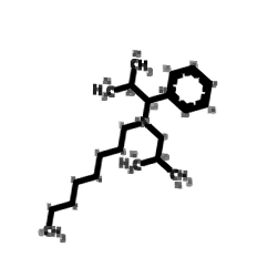 CCCCCCCCN(CC(C)C)C(c1ccccc1)C(C)C